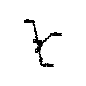 CCCCCC/C=C\CCCCCCCC(=O)OC[C@H](COC(=O)CCCCCCCCCCCCCCCCCCCCC)OC(=O)CCCCCCCCCCCCCCCCCC